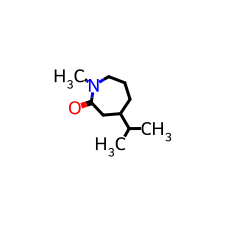 CC(C)C1CCCN(C)C(=O)C1